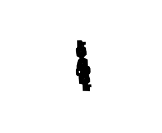 O=S(=O)(c1ccc(Br)cc1)c1ccc(-c2ccc(Br)cc2)cc1